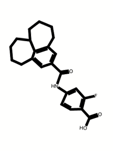 O=C(Nc1ccc(C(=O)O)c(F)c1)c1cc2c3c(c1)CCCCC3CCCC2